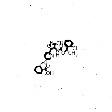 Cc1noc(-c2ccc(OC[C@H]3CCCC[C@H]3C(=O)O)cn2)c1NC(=O)O[C@H](C)c1ccccc1Cl